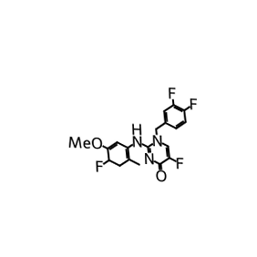 COC1=CC(Nc2nc(=O)c(F)cn2Cc2ccc(F)c(F)c2)=C(C)CC1F